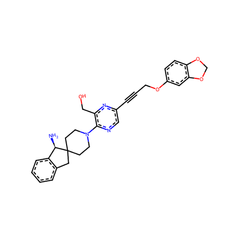 N[C@@H]1c2ccccc2CC12CCN(c1ncc(C#CCOc3ccc4c(c3)OCO4)nc1CO)CC2